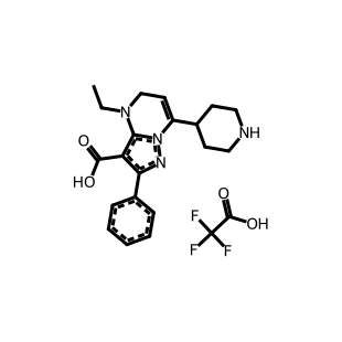 CCN1CC=C(C2CCNCC2)n2nc(-c3ccccc3)c(C(=O)O)c21.O=C(O)C(F)(F)F